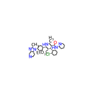 CCOC(=O)C1=C(c2ccc(-n3c(C)nc4cnccc43)cc2)NC(C)=C(C(=O)Nc2ccccn2)C1c1ccccc1Cl